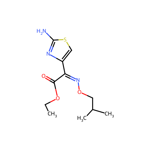 CCOC(=O)/C(=N\OCC(C)C)c1csc(N)n1